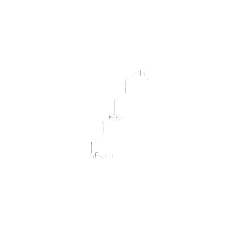 Br.CCCCCCCCCCCCP